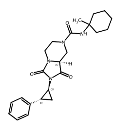 CC1(NC(=O)N2CCN3C(=O)N([C@H]4C[C@@H]4c4ccccc4)C(=O)[C@@H]3C2)CCCCC1